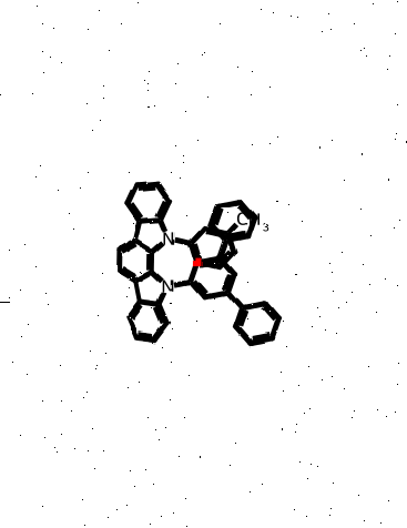 Cc1cccc(-n2c3ccccc3c3ccc4c5ccccc5n(-c5cc(-c6ccccc6)cc(-c6ccccc6)c5)c4c32)c1